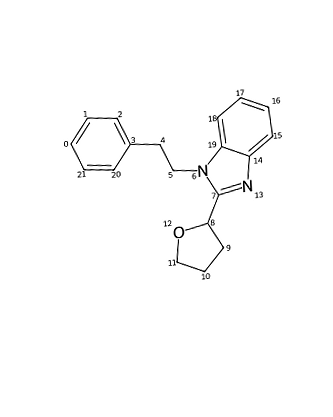 c1ccc(CCn2c(C3CCCO3)nc3ccccc32)cc1